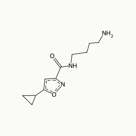 NCCCCNC(=O)c1cc(C2CC2)on1